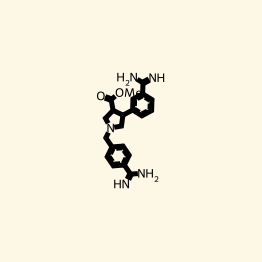 COC(=O)C1CN(Cc2ccc(C(=N)N)cc2)CC1c1cccc(C(=N)N)c1